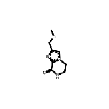 COCc1cn2c(n1)C(=O)NCC2